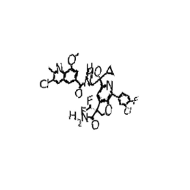 COc1cc(C(=O)NC[C@](O)(c2cc3c(c(-c4ccc(F)c(Cl)c4)n2)OC[C@]3(C(N)=O)C(F)F)C2CC2)cc2cc(Cl)c(C)nc12